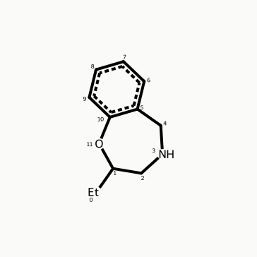 CCC1CNCc2ccccc2O1